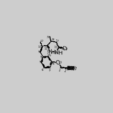 C#CCOc1cccc(C=C(C)C2=NNC(=O)CC2C)c1